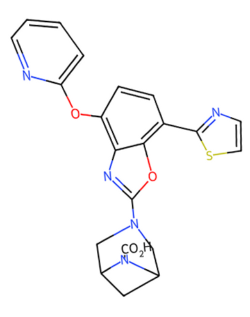 O=C(O)N1C2CC1CN(c1nc3c(Oc4ccccn4)ccc(-c4nccs4)c3o1)C2